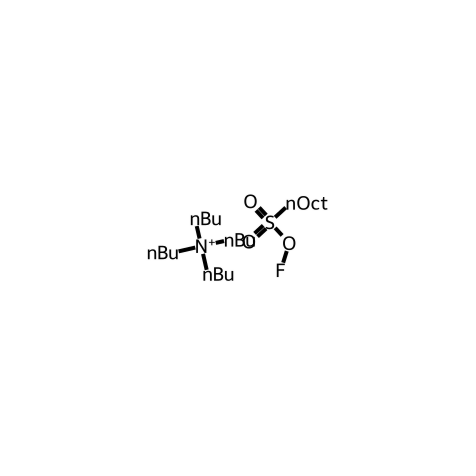 CCCCCCCCS(=O)(=O)OF.CCCC[N+](CCCC)(CCCC)CCCC